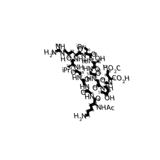 CC(=O)N[C@@H](CCCCN)C(=O)NCC(=O)NCC(=O)NCC(=O)N[C@@H](CC(C)C)C(=O)N[C@@H](CCCNC(=N)N)C(=O)N[C@@H](CC(C)C)C(=O)N[C@@H](CO)C(=O)NCC(=O)NCC(=O)N1C[C@H](O)C[C@H]1C(=O)N[C@@H](CCC(=O)O)C(=O)O